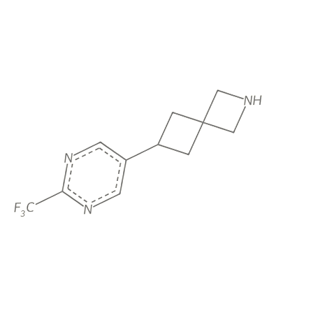 FC(F)(F)c1ncc(C2CC3(CNC3)C2)cn1